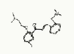 Cc1ccc(OCCN(C)C)c(C(=O)/C=C/c2ccccc2CN(C)C)c1